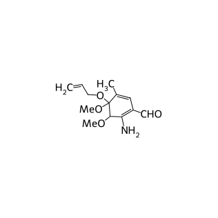 C=CCOC1(OC)C(C)=CC(C=O)=C(N)C1OC